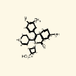 Cc1cc(-c2c(C3CCOCC3)n([C@H]3C[C@H](C(=O)O)C3)c(=O)c3cc(O)ccc23)ccc1F